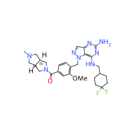 COc1cc(C(=O)N2C[C@H]3CN(C)C[C@H]3C2)ccc1Cn1ncc2nc(N)nc(NCC3CCC(F)(F)CC3)c21